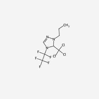 CCCN1N=CN(C(F)(F)C(F)(F)F)C1C(Cl)(Cl)Cl